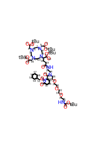 CC(C)(C)OC(=O)CN1CCN(CC(=O)OC(C)(C)C)CCN(C(CCC(=O)NCCN(CCOCCOCCOCCNC(=O)OC(C)(C)C)C(=O)c2cccc(=O)n2OCc2ccccc2)C(=O)OC(C)(C)C)CCN(CC(=O)OC(C)(C)C)CC1